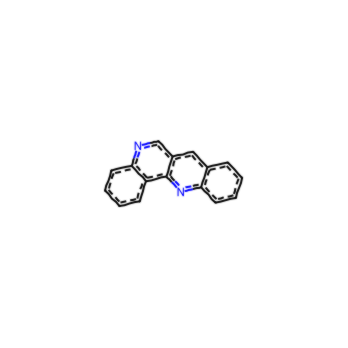 c1ccc2nc3c(cnc4ccccc43)cc2c1